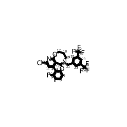 O=C1c2c(-c3ccccc3F)cc(Cl)nc2OCCCN1Cc1cc(C(F)(F)F)cc(C(F)(F)F)c1